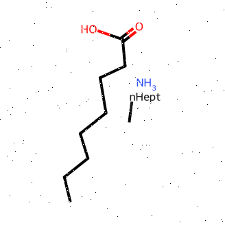 CCCCCCCC.CCCCCCCC(=O)O.N